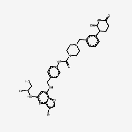 CC[C@@H](CO)Nc1cc(NCc2ccc(NC(=O)N3CCN(Cc4cccc(C5CCC(=O)NC5=O)c4)CC3)cc2)n2ncc(C(C)C)c2n1